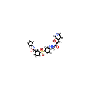 O=C(NC1CCCC1)c1cccc(S(=O)(=O)c2ccc(CNC(=O)c3cc4ccncc4o3)cc2)c1